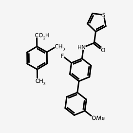 COc1cccc(-c2ccc(NC(=O)c3ccsc3)c(F)c2)c1.Cc1ccc(C(=O)O)c(C)c1